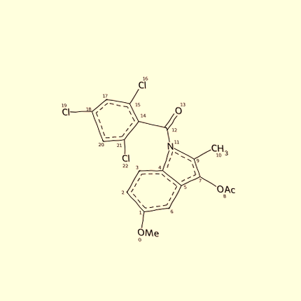 COc1ccc2c(c1)c(OC(C)=O)c(C)n2C(=O)c1c(Cl)cc(Cl)cc1Cl